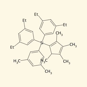 CCc1cc(CC)cc([Si](C2=C(C)C(C)=C(C)C2C)(c2cc(C)cc(C)c2)c2cc(CC)cc(CC)c2)c1